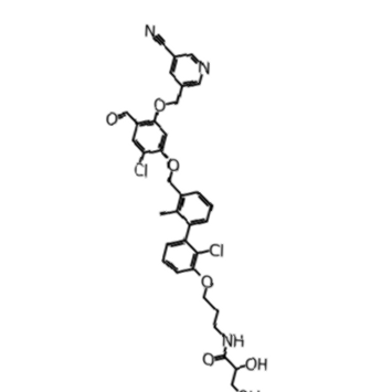 Cc1c(COc2cc(OCc3cncc(C#N)c3)c(C=O)cc2Cl)cccc1-c1cccc(OCCCNC(=O)C(O)CO)c1Cl